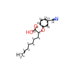 C=CCCCCCC(Oc1cccc(C#N)c1)C(=O)O